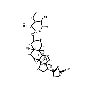 COC1[C@@H](O)C(C)O[C@@H](O[C@H]2CC[C@]3(C)C4CC[C@]5(C)[C@@H](C6=CC(=O)OC6)CC[C@]5(O)[C@@]45O[C@H]5C[C@@H]3C2)[C@@H]1O